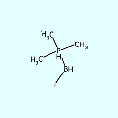 C[PH](C)(C)BI